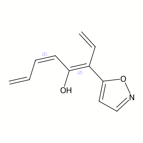 C=C/C=C\C(O)=C(/C=C)c1ccno1